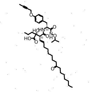 CC#CCOc1ccc(C[C@H](NC(=O)[C@@H](C=CCCCCCCC(=O)CCCCCCC)[C@@](O)(CCC)C(=O)O)C(=O)NOC(C)C)cc1